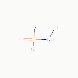 CCNP(N)(N)=O